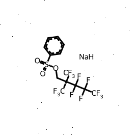 O=S(=O)(OCC(C(F)(F)F)(C(F)(F)F)C(F)(F)C(F)(F)C(F)(F)F)c1ccccc1.[NaH]